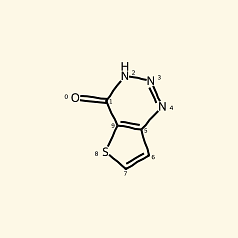 O=c1[nH]nnc2ccsc12